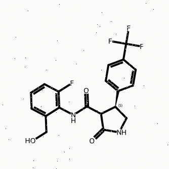 O=C1NC[C@H](c2ccc(C(F)(F)F)cc2)C1C(=O)Nc1c(F)cccc1CO